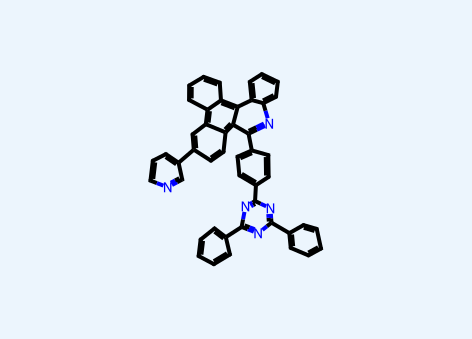 c1ccc(-c2nc(-c3ccccc3)nc(-c3ccc(-c4nc5ccccc5c5c6ccccc6c6cc(-c7cccnc7)ccc6c45)cc3)n2)cc1